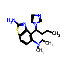 CCCC(c1c(N(C)CC)ccc2sc(N)nc12)n1ccnc1